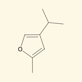 Cc1cc(C(C)C)co1